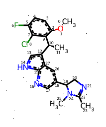 COc1ccc(F)c(Cl)c1[C@@H](C)c1c[nH]c2ncc(C3CN=C(C)N3C)cc12